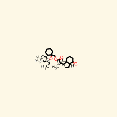 CC[Si](CC)(CC)OC1(COC(=O)[C@@H](C)[C@H]2CC[C@H]3C(=O)CCC[C@]23C)CCCCC1